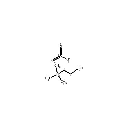 C[N+](C)(C)CCO.[O]=[V](=[O])[O-]